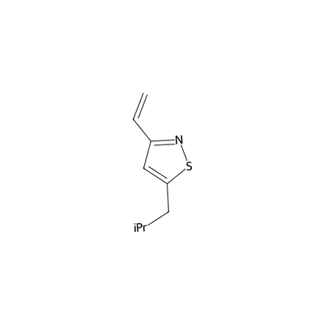 C=Cc1cc(CC(C)C)sn1